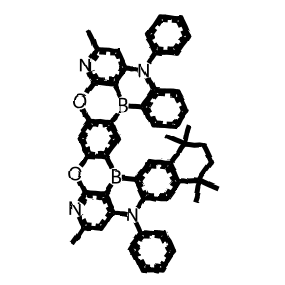 Cc1cc2c3c(n1)Oc1cc4c(cc1B3c1ccccc1N2c1ccccc1)B1c2cc3c(cc2N(c2ccccc2)c2cc(C)nc(c21)O4)C(C)(C)CCC3(C)C